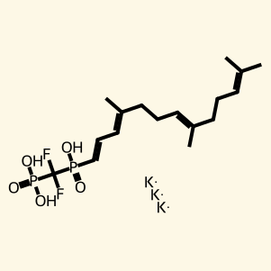 CC(C)=CCCC(C)=CCCC(C)=CC=CP(=O)(O)C(F)(F)P(=O)(O)O.[K].[K].[K]